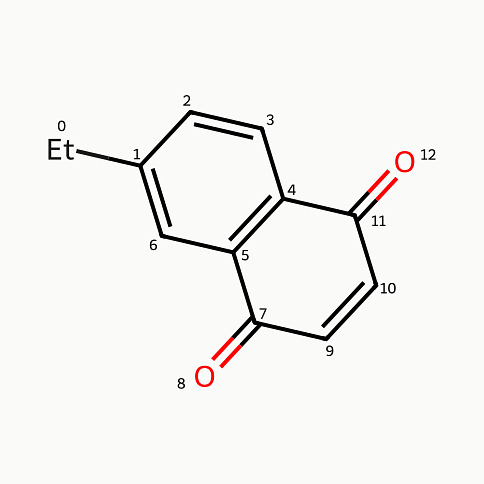 CCc1ccc2c(c1)C(=O)C=CC2=O